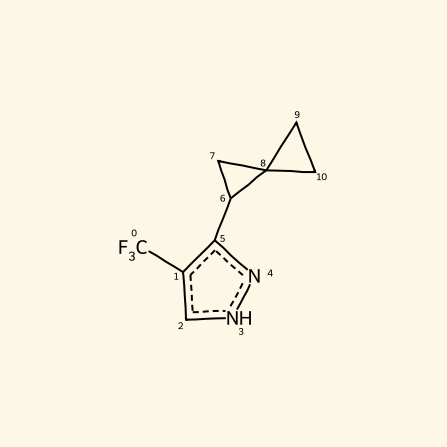 FC(F)(F)c1c[nH]nc1C1CC12CC2